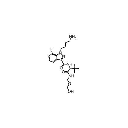 CC(C)(C)C(NC(=O)c1nn(CCCCN)c2c(F)cccc12)C(=O)NCOCO